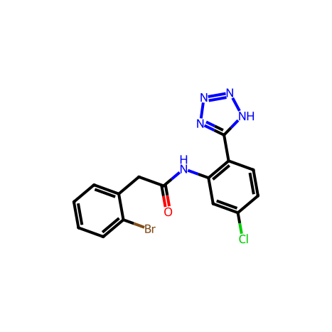 O=C(Cc1ccccc1Br)Nc1cc(Cl)ccc1-c1nnn[nH]1